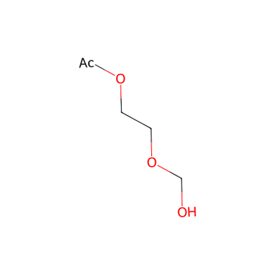 CC(=O)OCCOCO